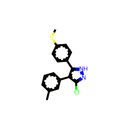 CSc1ccc(-c2[nH]nc(Cl)c2-c2cccc(C)c2)cc1